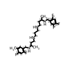 Cc1cc(CNC(C)CCNCCCNCCC(C)NCc2cc(F)c(F)cc2F)c(F)cc1F